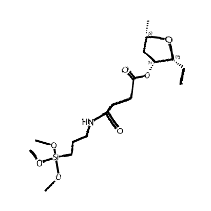 CC[C@H]1O[C@@H](C)C[C@H]1OC(=O)CCC(=O)NCCC[Si](OC)(OC)OC